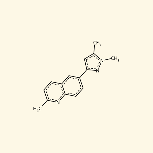 Cc1ccc2cc(-c3cc(C(F)(F)F)n(C)n3)ccc2n1